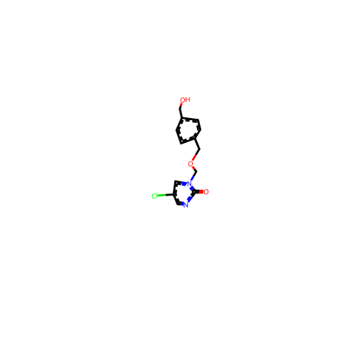 O=c1ncc(Cl)cn1COCc1ccc(CO)cc1